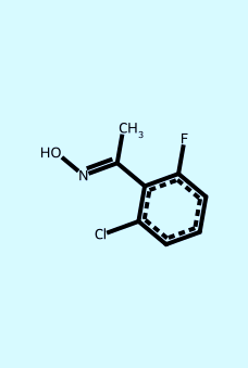 CC(=NO)c1c(F)cccc1Cl